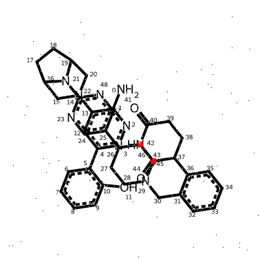 Nc1nnc(-c2ccccc2O)cc1N1CC2CCC(C1)N2c1ncc(C2CCN(Cc3ccccc3C3CCC(=O)NC3=O)CC2)cn1